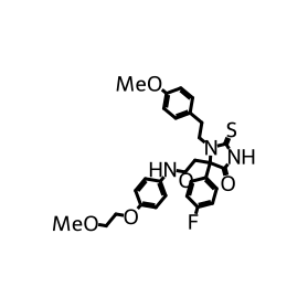 COCCOc1ccc(NC(=O)CC2(c3ccc(F)cc3)C(=O)NC(=S)N2CCc2ccc(OC)cc2)cc1